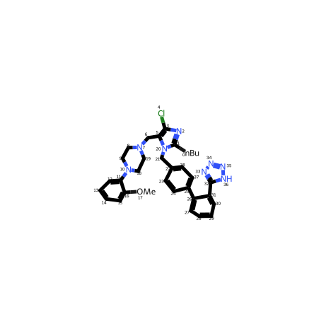 CCCCc1nc(Cl)c(CN2CCN(c3ccccc3OC)CC2)n1Cc1ccc(-c2ccccc2-c2nnn[nH]2)cc1